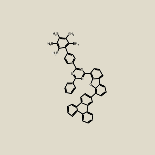 Bc1c(B)c(B)c(-c2ccc(-c3nc(-c4ccccc4)nc(-c4cccc5c4oc4c(-c6ccc7c8ccccc8c8ccccc8c7c6)cccc45)n3)cc2)c(B)c1B